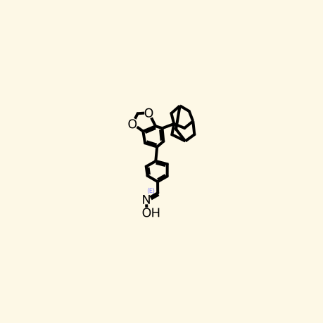 O/N=C/c1ccc(-c2cc3c(c(C45CC6CC(CC(C6)C4)C5)c2)OCO3)cc1